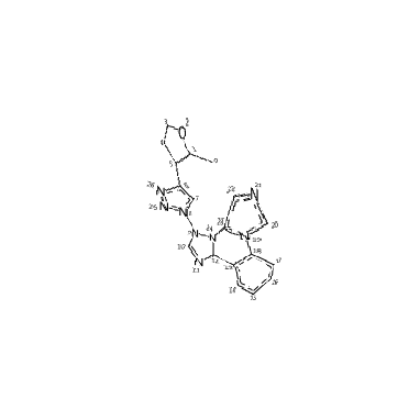 CC1OCCC1c1cn(N2C=NC3c4ccccc4-n4cncc4N32)nn1